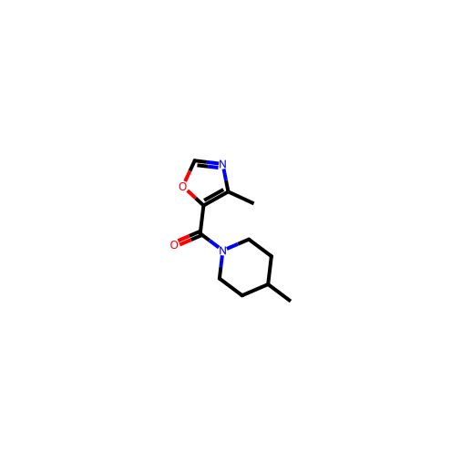 Cc1ncoc1C(=O)N1CCC(C)CC1